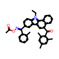 CCn1c2ccc(/C(=N/OC(C)=O)c3ccccc3C)cc2c2cc(C(=O)c3c(C)cc(C)cc3C)c3ccccc3c21